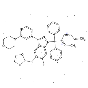 C=C/C=C\C(=C/C)C(c1ccccc1)(c1ccccc1)n1nc(-c2ccnc(N3CCOCC3)c2)c2cc(CC3OCCO3)c(F)cc21